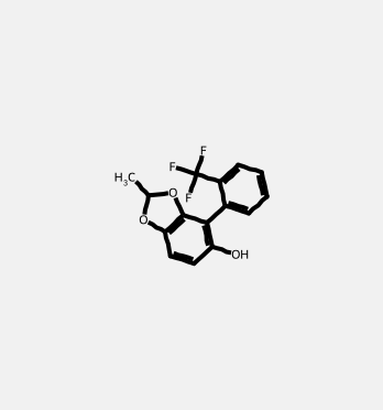 CC1Oc2ccc(O)c(-c3ccccc3C(F)(F)F)c2O1